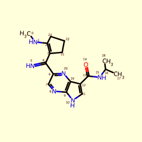 CNC1=C(C(=N)c2cnc3[nH]cc(C(=O)NC(C)C)c3n2)CCC1